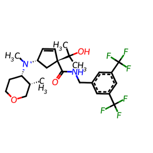 C[C@@H]1COCC[C@@H]1N(C)[C@@H]1C=C[C@@](C(=O)NCc2cc(C(F)(F)F)cc(C(F)(F)F)c2)(C(C)(C)O)C1